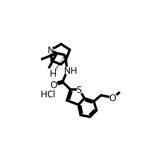 COCc1cccc2cc(C(=O)N[C@@H]3C4CCN(CC4)C3(C)C)sc12.Cl